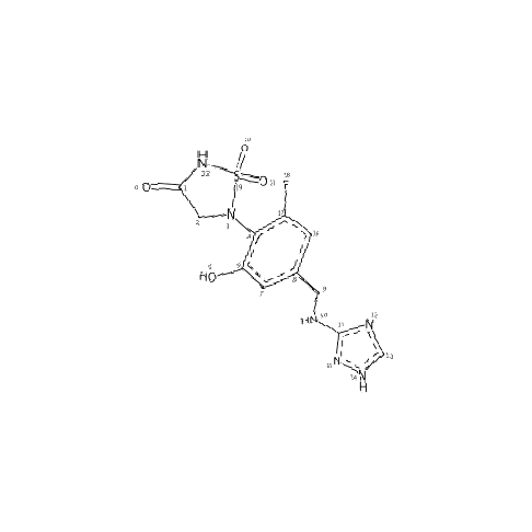 O=C1CN(c2c(O)cc(CNc3nc[nH]n3)cc2F)S(=O)(=O)N1